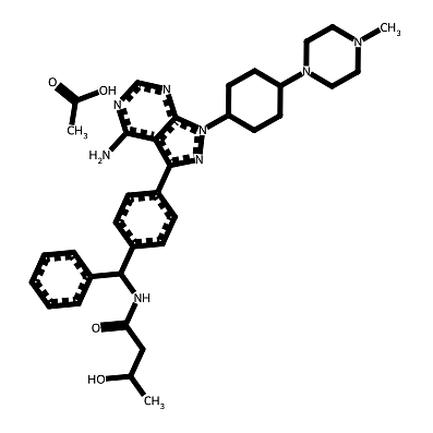 CC(=O)O.CC(O)CC(=O)NC(c1ccccc1)c1ccc(-c2nn(C3CCC(N4CCN(C)CC4)CC3)c3ncnc(N)c23)cc1